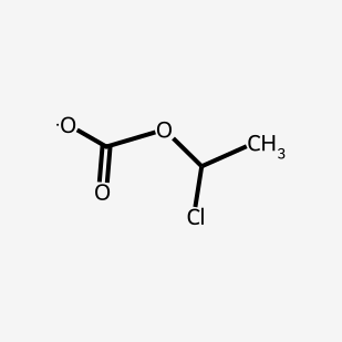 CC(Cl)OC([O])=O